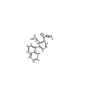 NC(=O)c1cccc(-c2cccc3ccccc23)c1C1CC1